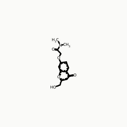 CN(C)C(=O)COc1ccc2c(=O)cc(CO)oc2c1